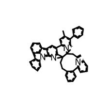 C=C1CC2(C)[n+]3cc(-c4ccccc4)c(C)cc3-c3cc4c5cccc6c7ccccc7n(c4nc3C2(C)CCc2ccccc2-c2cccc[n+]21)c65